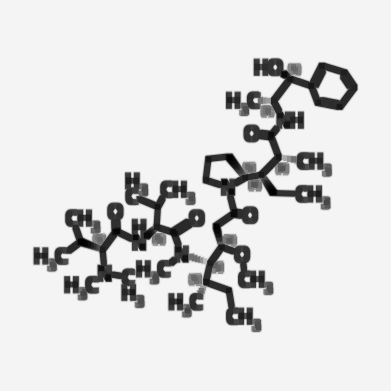 CC[C@H]([C@@H](C)C(=O)N[C@H](C)[C@@H](O)c1ccccc1)[C@@H]1CCCN1C(=O)C[C@@H](OC)[C@H]([C@@H](C)CC)N(C)C(=O)[C@@H](NC(=O)[C@H](C(C)C)N(C)C)C(C)C